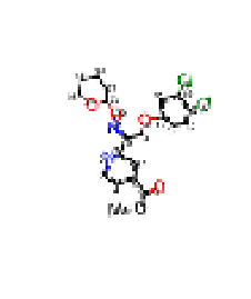 COC(=O)c1ccnc(/C(COc2ccc(Cl)c(Cl)c2)=N/OC2CCCCO2)c1